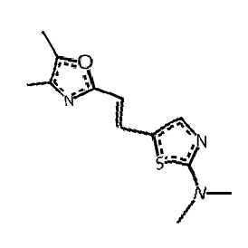 Cc1nc(C=Cc2cnc(N(C)C)s2)oc1C